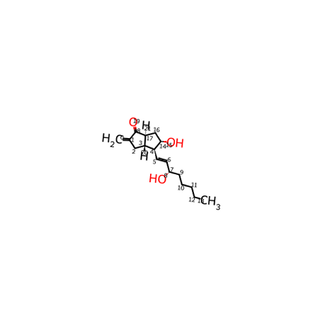 C=C1C[C@H]2[C@H](/C=C/[C@@H](O)CCCCC)[C@H](O)C[C@@H]2C1=O